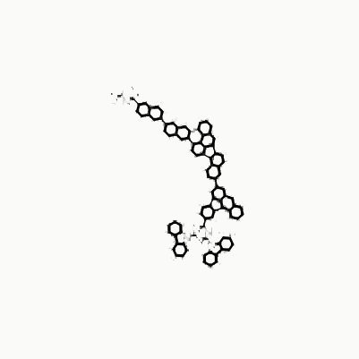 C=N/C(=N\C=N/C)c1ccc2cc(-c3ccc4cc(-c5ccc6c7c(cc8ccccc8c57)-c5ccc7cc(-c8cc9c%10c(c%11ccccc%11cc%10c8)-c8cc(-c%10nc(-n%11c%12ccccc%12c%12ccccc%12%11)nc(-n%11c%12ccccc%12c%12ccccc%12%11)n%10)ccc8-9)ccc7c5-6)ccc4c3)ccc2c1